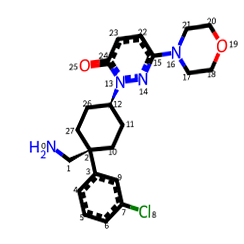 NC[C@]1(c2cccc(Cl)c2)CC[C@H](n2nc(N3CCOCC3)ccc2=O)CC1